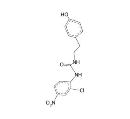 O=C(NCCc1ccc(O)cc1)Nc1ccc([N+](=O)[O-])cc1Cl